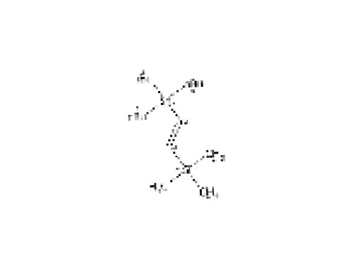 CCC[CH2][Sn](/[CH]=C/[Si](C)(C)C)([CH2]CCC)[CH2]CCC